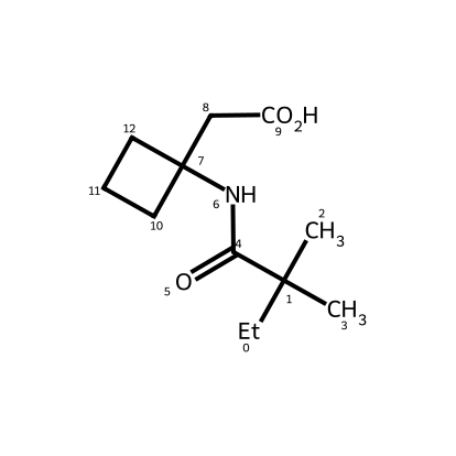 CCC(C)(C)C(=O)NC1(CC(=O)O)CCC1